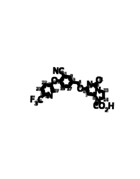 N#Cc1cc(COc2cc3n(c(=O)n2)CCN3C(=O)O)ccc1Oc1ccc(C(F)(F)F)nc1